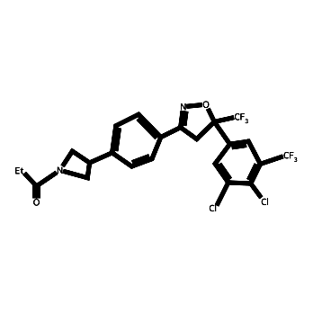 CCC(=O)N1CC(c2ccc(C3=NOC(c4cc(Cl)c(Cl)c(C(F)(F)F)c4)(C(F)(F)F)C3)cc2)C1